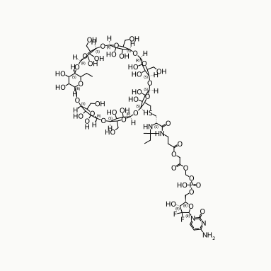 CCC1O[C@@H]2O[C@@H]3C(CO)O[C@H](O[C@@H]4C(CO)O[C@H](O[C@@H]5C(CSC[C@@H](NC(C)(C)CC)C(=O)NCCC(=O)OCC(=O)OCOP(=O)(O)OC[C@H]6O[C@@H](n7ccc(N)nc7=O)C(F)(F)[C@@H]6O)O[C@H](O[C@@H]6C(CO)O[C@H](O[C@@H]7C(CO)O[C@H](O[C@@H]8C(CO)O[C@H](O[C@H]1C(O)C2O)C(O)C8O)C(O)C7O)C(O)C6O)C(O)C5O)C(O)C4O)C(O)C3O